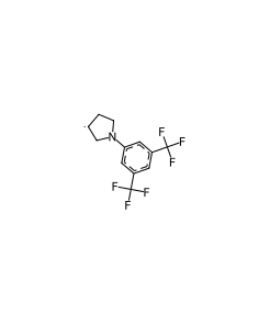 FC(F)(F)c1cc(N2C[CH]CC2)cc(C(F)(F)F)c1